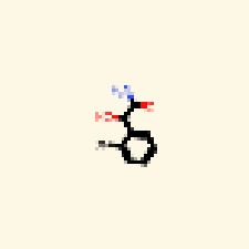 NC(=O)C(O)c1ccccc1N=O